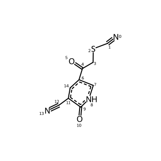 N#CSCC(=O)c1c[nH]c(=O)c(C#N)c1